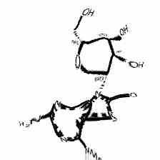 CNc1nc(N)nc2c1sc(=O)n2[C@@H]1O[C@H](CO)[C@@H](O)[C@H]1O